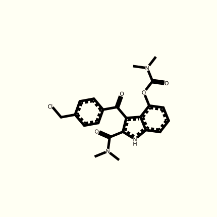 CN(C)C(=O)Oc1cccc2[nH]c(C(=O)N(C)C)c(C(=O)c3ccc(CCl)cc3)c12